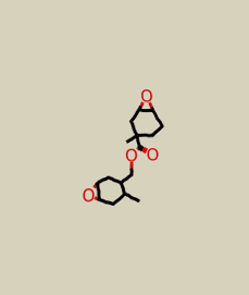 CC1CC2OC2CC1COC(=O)C1(C)CCC2OC2C1